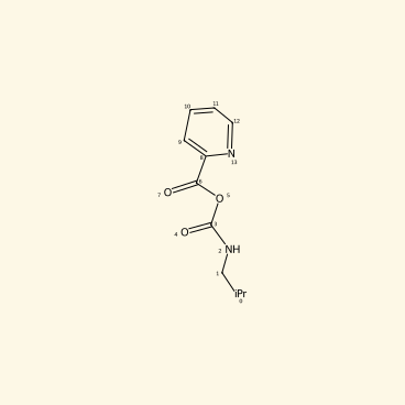 CC(C)CNC(=O)OC(=O)c1ccccn1